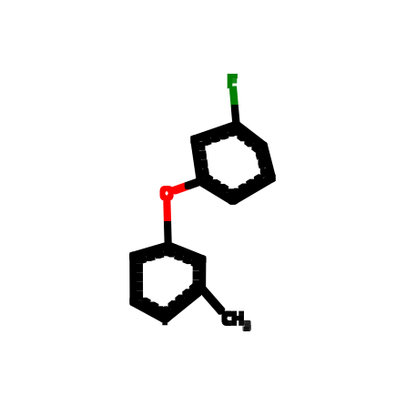 Cc1[c]ccc(Oc2cccc(F)c2)c1